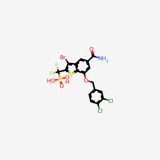 NC(=O)c1cc(OCc2ccc(Cl)c(Cl)c2)c2sc(C(F)(F)P(=O)(O)O)c(Br)c2c1